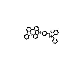 c1ccc(-c2nc(-c3ccc(-n4c5cccc6c7cccc8c9ccccc9n(c9cccc4c9c65)c78)cc3)nc3ccccc23)cc1